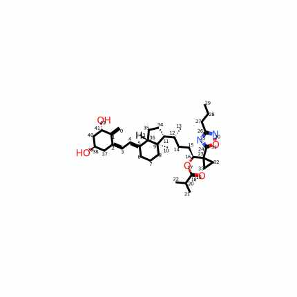 C=C1/C(=C\C=C2/CCC[C@]3(C)[C@@H]([C@H](C)CC[C@H](OC(=O)C(C)C)C4(c5nc(CCC)no5)CC4)CC[C@@H]23)C[C@@H](O)C[C@@H]1O